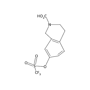 O=C(O)N1CCc2ccc(OS(=O)(=O)C(F)(F)F)cc2C1